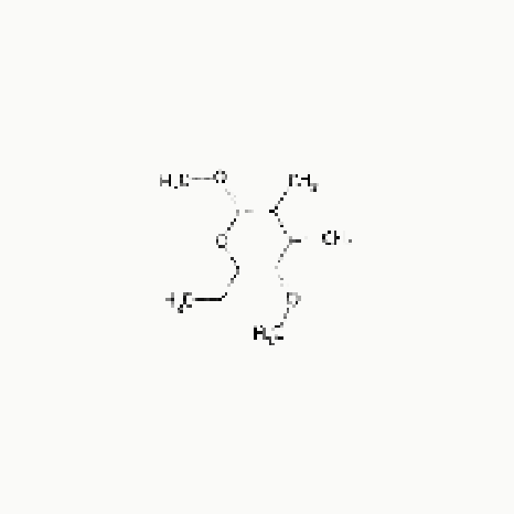 CCC1O[C@H](OC)C(C)C(C)[C@@H]1OC